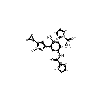 CCC(C)n1nc(-c2cc(NC(=O)c3ccco3)ccc2O)cc1C1CC1.NC(=O)n1cccn1